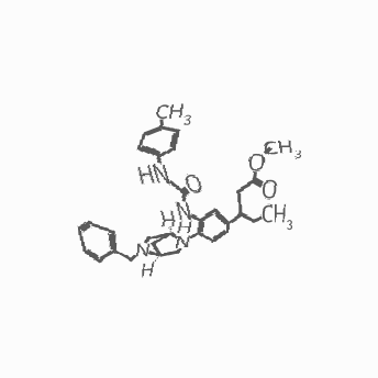 CCC(CC(=O)OC)c1ccc(N2C[C@@H]3C[C@H]2CN3Cc2ccccc2)c(NC(=O)Nc2ccc(C)cc2)c1